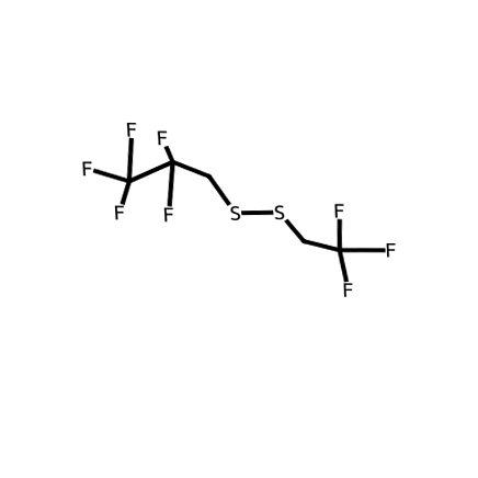 FC(F)(F)CSSCC(F)(F)C(F)(F)F